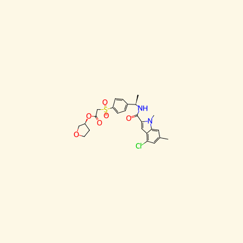 Cc1cc(Cl)c2cc(C(=O)N[C@H](C)c3ccc(S(=O)(=O)CC(=O)O[C@H]4CCOC4)cc3)n(C)c2c1